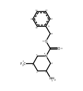 NC1CC(C(F)(F)F)CN(C(=O)OCc2ccccc2)C1